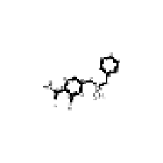 CN(Cc1ccccc1)Cc1ccc(C(=O)O)c(F)c1